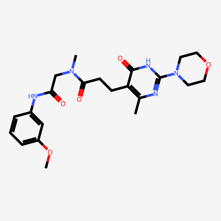 COc1cccc(NC(=O)CN(C)C(=O)CCc2c(C)nc(N3CCOCC3)[nH]c2=O)c1